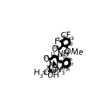 COc1ccc(C(F)(F)F)c(F)c1C(=O)Nc1cc(=O)n(CC(C)(C)O)nc1-c1ccccc1C(C)C